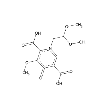 COc1c(C(=O)O)n(CC(OC)OC)cc(C(=O)O)c1=O